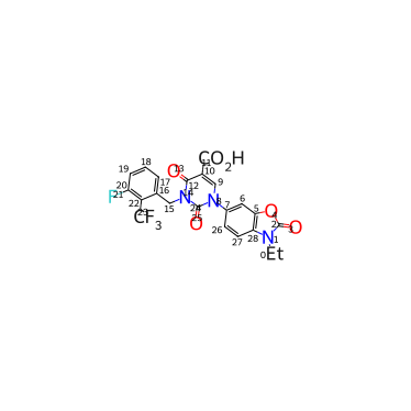 CCn1c(=O)oc2cc(-n3cc(C(=O)O)c(=O)n(Cc4cccc(F)c4C(F)(F)F)c3=O)ccc21